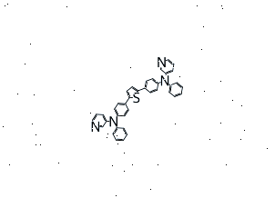 c1ccc(N(c2ccc(-c3ccc(-c4ccc(N(c5ccccc5)c5cccnc5)cc4)s3)cc2)c2cccnc2)cc1